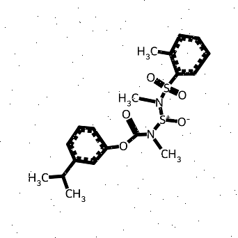 Cc1ccccc1S(=O)(=O)N(C)[S+]([O-])N(C)C(=O)Oc1cccc(C(C)C)c1